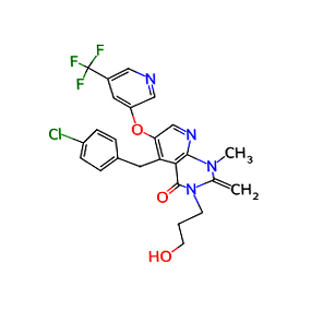 C=C1N(CCCO)C(=O)c2c(ncc(Oc3cncc(C(F)(F)F)c3)c2Cc2ccc(Cl)cc2)N1C